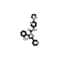 O=C(Nc1ccc(N2CCC=N2)nc1)N1N=C(c2cccnc2)CC1c1ccccc1O